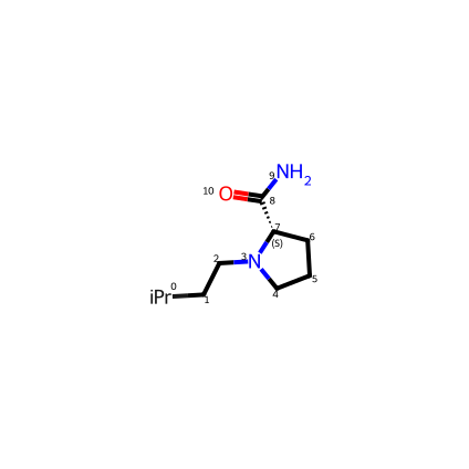 CC(C)CCN1CCC[C@H]1C(N)=O